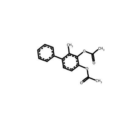 CC(=O)Oc1ccc(-c2ccccc2)c(C)c1OC(C)=O